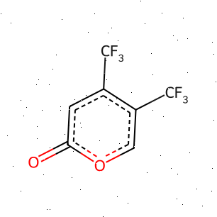 O=c1cc(C(F)(F)F)c(C(F)(F)F)co1